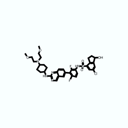 COCCN(CCOC)C1CCC(Nc2ncc3cc(-c4c(F)ccc(NS(=O)(=O)c5cc(Cl)cc6c5CCC6O)c4F)ccc3n2)CC1